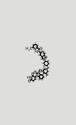 Cc1cccc(C(=O)Nc2cc3cn([C@H]4CC[C@H](CN5CC[C@@H](c6cccc7c6n(C)c(=O)n7C6CCC(=O)NC6=O)[C@H](F)C5)CC4)nc3cn2)n1